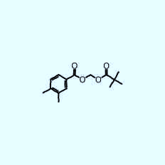 Cc1ccc(C(=O)OCOC(=O)C(C)(C)C)cc1C